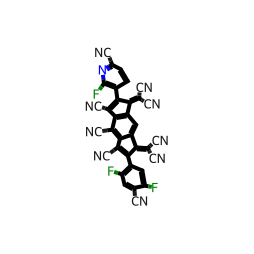 N#CC(C#N)=C1C(c2cc(F)c(C#N)cc2F)=C(C#N)c2c1cc1c(c2C#N)C(C#N)=C(c2ccc(C#N)nc2F)C1=C(C#N)C#N